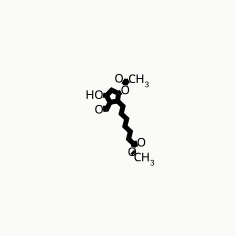 COC(=O)CCCCCCC1C(OC(C)=O)CC(O)C1C=O